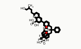 CC(CO)CCc1ccc2cc(-c3ccc(CC(Cc4ccc(C(F)(F)P(=O)(O)O)cc4)(c4ccccc4)n4nnc5ccccc54)cc3)cc(P(=O)(O)O)c2n1